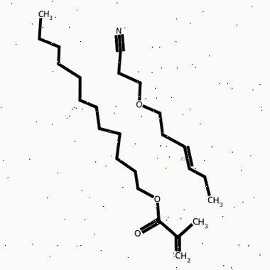 C=C(C)C(=O)OCCCCCCCCCCCC.CC/C=C/CCOCCC#N